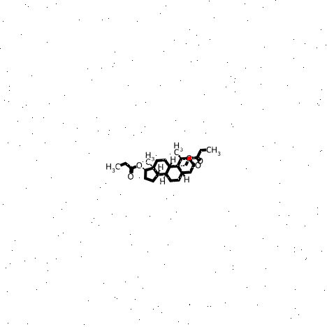 CCC(=O)OC[C@]12[C@@H](CC[C@H]3[C@@H]4CC[C@H](OC(=O)CC)[C@@]4(C)CC[C@@H]31)CC(=O)C[C@@H]2C